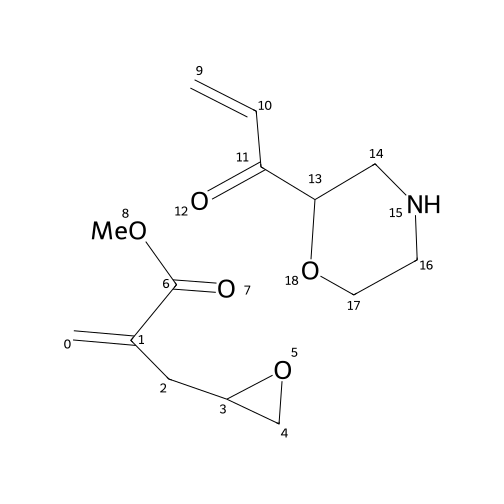 C=C(CC1CO1)C(=O)OC.C=CC(=O)C1CNCCO1